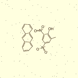 Cc1cc([N+](=O)[O-])cc([N+](=O)[O-])c1O.c1ccc2cc3ccccc3cc2c1